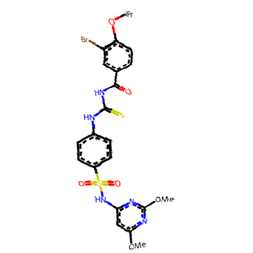 COc1cc(NS(=O)(=O)c2ccc(NC(=S)NC(=O)c3ccc(OC(C)C)c(Br)c3)cc2)nc(OC)n1